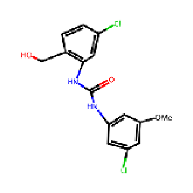 COc1cc(Cl)cc(NC(=O)Nc2cc(Cl)ccc2CO)c1